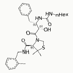 CCCCCCNC(=O)N[C@@H](Cc1ccccc1)[C@H](O)C(=O)N1CSC(C)(C)[C@H]1C(=O)NCc1ccccc1C